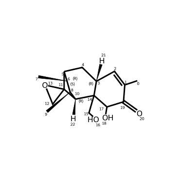 CC1=C[C@H]2CC3[C@H](C)[C@H](C)[C@@H](C34CO4)C2(CO)C(O)C1=O